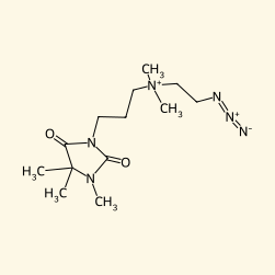 CN1C(=O)N(CCC[N+](C)(C)CCN=[N+]=[N-])C(=O)C1(C)C